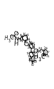 CC(=O)Nc1nc2c(Oc3cc(-c4ccc(C(F)(F)F)cc4OCCC4CCCN4C)ncn3)cccc2s1